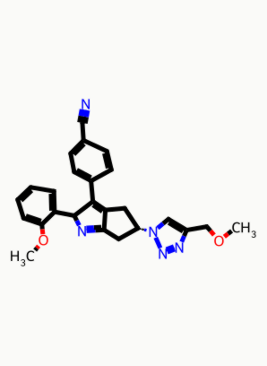 COCc1cn([C@@H]2CC3=NC(c4ccccc4OC)C(c4ccc(C#N)cc4)=C3C2)nn1